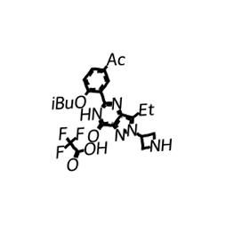 CCc1c2nc(-c3cc(C(C)=O)ccc3OCC(C)C)[nH]c(=O)c2nn1C1CNC1.O=C(O)C(F)(F)F